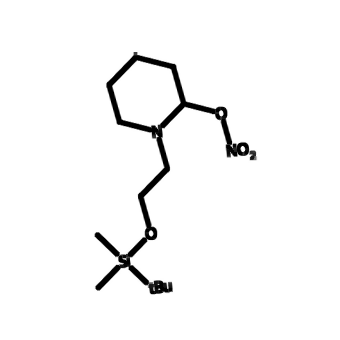 CC(C)(C)[Si](C)(C)OCCN1CC[CH]CC1O[N+](=O)[O-]